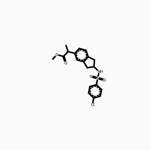 COC(=O)C(C)c1ccc2c(c1)CC(NS(=O)(=O)c1ccc(Cl)cc1)C2